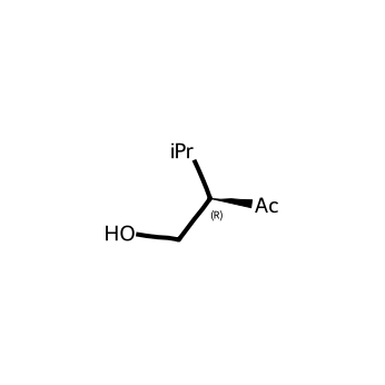 CC(=O)[C@@H](CO)C(C)C